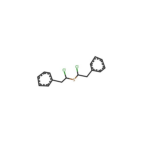 ClC(Cc1ccccc1)SC(Cl)Cc1ccccc1